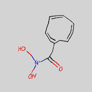 O=C(c1ccccc1)[N+](O)O